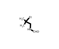 CCC(C)(C)CN[C]=O